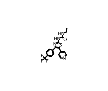 CCNC(=O)Nc1nc(-c2ccc(C(F)(F)F)cc2)c(-c2ccncc2)s1